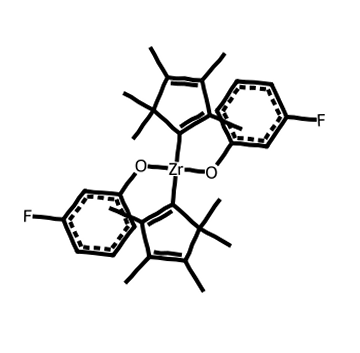 CC1=C(C)C(C)(C)[C]([Zr]([O]c2cccc(F)c2)([O]c2cccc(F)c2)[C]2=C(C)C(C)=C(C)C2(C)C)=C1C